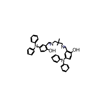 CC(C)(C/N=C/c1cc(N(c2ccccc2)c2ccccc2)ccc1O)C/N=C/c1cc(N(c2ccccc2)c2ccccc2)ccc1O